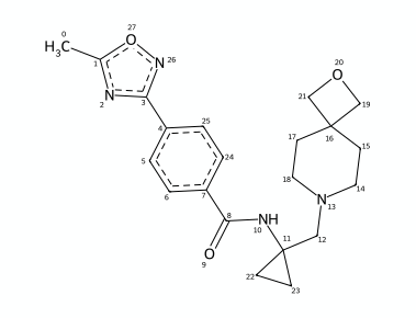 Cc1nc(-c2ccc(C(=O)NC3(CN4CCC5(CC4)COC5)CC3)cc2)no1